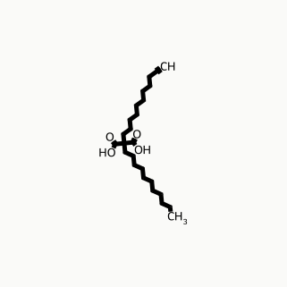 C#CCCCCCCCCCC(CCCCCCCCCCC)(C(=O)O)C(=O)O